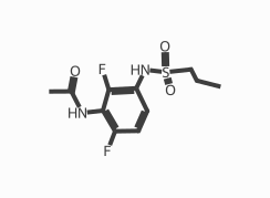 CCCS(=O)(=O)Nc1ccc(F)c(NC(C)=O)c1F